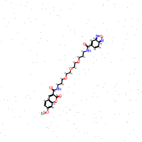 CCOc1ccc2cc(C(=O)NCCCOCCOCCOCCCNC(=O)c3ccc4nonc4c3)c(=O)oc2c1